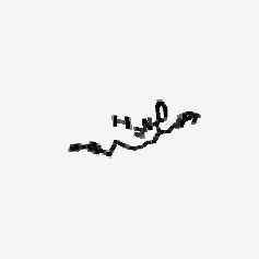 C#CC#CCCCCC=C(CC(C)C)C(N)=O